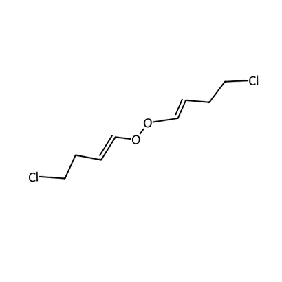 ClCCC=COOC=CCCCl